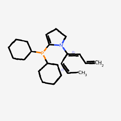 C=C/C=C(\C=C/C)N1CCC=C1P(C1CCCCC1)C1CCCCC1